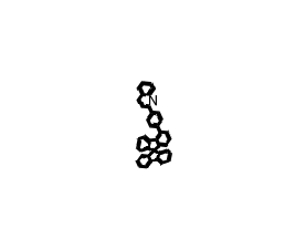 c1ccc2c(c1)-c1ccccc1C21c2ccccc2-c2c(-c3ccc(-c4ccc5ccccc5n4)cc3)cccc21